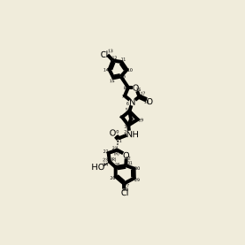 O=C(NC12CC(N3CC(c4ccc(Cl)cc4)OC3=O)(C1)C2)[C@H]1C[C@@H](O)c2cc(Cl)ccc2O1